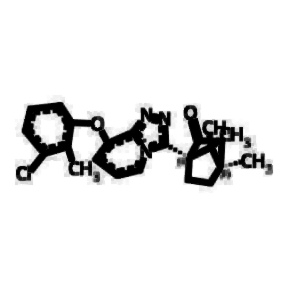 Cc1c(Cl)cccc1Oc1cccn2c([C@]34CC[C@](C)(CC3=O)C4(C)C)nnc12